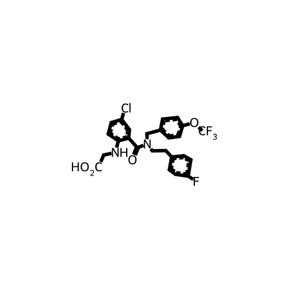 O=C(O)CNc1ccc(Cl)cc1C(=O)N(CCc1ccc(F)cc1)Cc1ccc(OC(F)(F)F)cc1